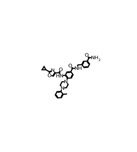 Cc1ccccc1N1CCN(c2ccc(C(=O)NCc3cccc(C(N)=O)c3)cc2NC(=O)c2coc(C3CC3)n2)CC1